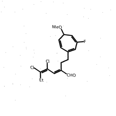 CC/C(Cl)=C(Cl)\C=C(\C=O)CCC1=CC(F)=CC(OC)C=C1